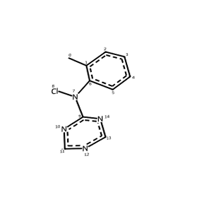 Cc1ccccc1N(Cl)c1n[c]ncn1